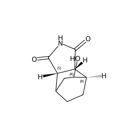 O=C1NC(=O)[C@H]2C3CC[C@@H](C(O)C3)[C@@H]12